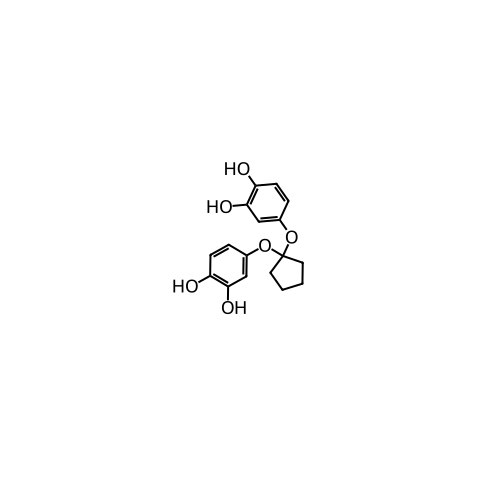 Oc1ccc(OC2(Oc3ccc(O)c(O)c3)CCCC2)cc1O